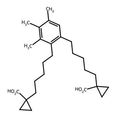 Cc1cc(CCCCCC2(C(=O)O)CC2)c(CCCCCC2(C(=O)O)CC2)c(C)c1C